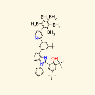 Bc1c(B)c(B)c(-c2ccnc(-c3cc(-c4cccc5c4nc(-c4cc(C(C)(C)C)cc(C(C)(C)C)c4O)n5-c4ccccc4)cc(C(C)(C)C)c3)c2)c(B)c1B